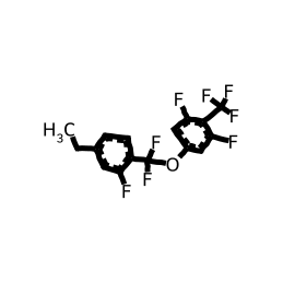 CCc1ccc(C(F)(F)Oc2cc(F)c(C(F)(F)F)c(F)c2)c(F)c1